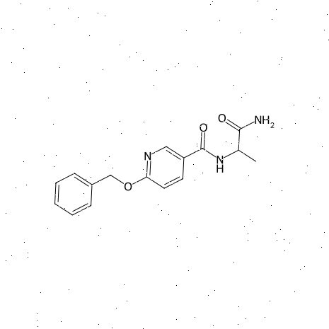 CC(NC(=O)c1ccc(OCc2ccccc2)nc1)C(N)=O